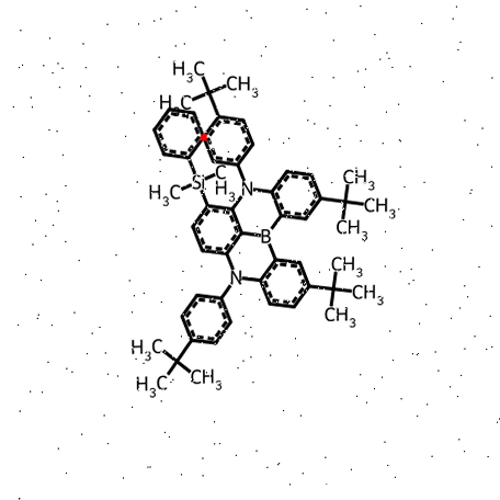 CC(C)(C)c1ccc(N2c3ccc(C(C)(C)C)cc3B3c4cc(C(C)(C)C)ccc4N(c4ccc(C(C)(C)C)cc4)c4c([Si](C)(C)c5ccccc5)ccc2c43)cc1